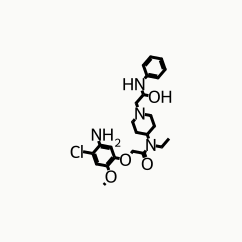 CCN(C(=O)COc1cc(N)c(Cl)cc1OC)C1CCN(CC(O)Nc2ccccc2)CC1